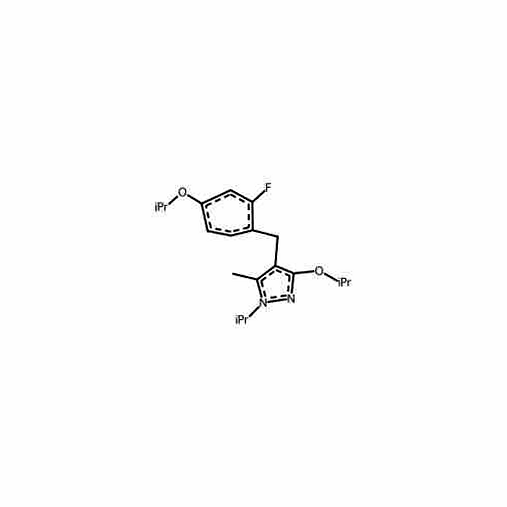 Cc1c(Cc2ccc(OC(C)C)cc2F)c(OC(C)C)nn1C(C)C